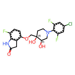 O=C1Cc2c(OC[C@]3(O)CCN(c4c(F)cc(Cl)cc4F)C[C@H]3O)ccc(F)c2N1